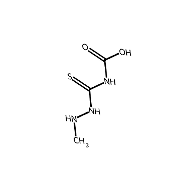 CNNC(=S)NC(=O)O